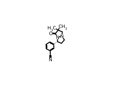 CC1(C)CN2CC[C@H](c3cccc(C#N)c3)N2C1=O